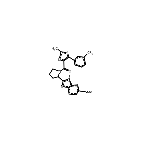 CSc1ccc2nc(C3CCCN3C(=O)c3nc(C)sc3-c3cccc(C(F)(F)F)c3)[nH]c2c1